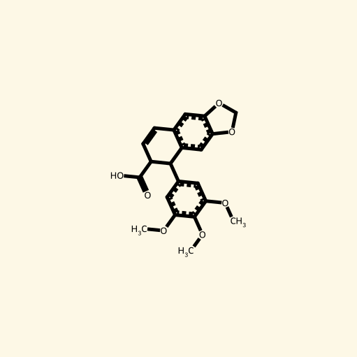 COc1cc(C2c3cc4c(cc3C=CC2C(=O)O)OCO4)cc(OC)c1OC